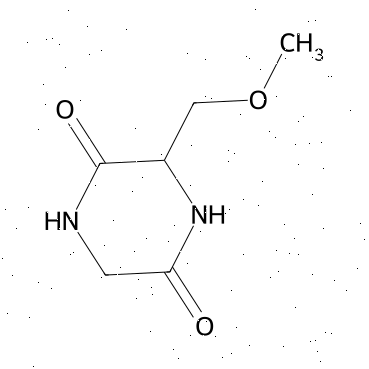 COCC1NC(=O)CNC1=O